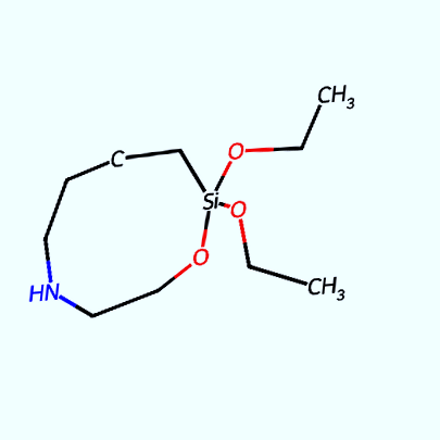 CCO[Si]1(OCC)CCCCNCCO1